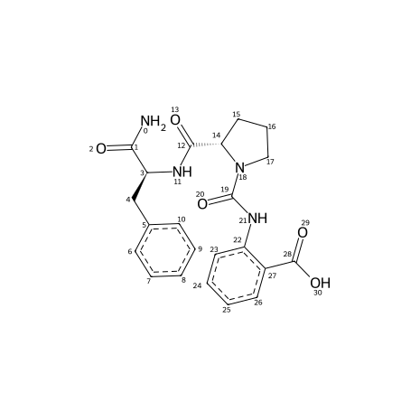 NC(=O)[C@H](Cc1ccccc1)NC(=O)[C@@H]1CCCN1C(=O)Nc1ccccc1C(=O)O